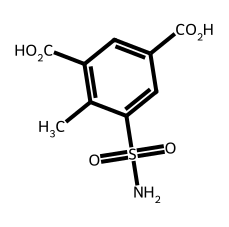 Cc1c(C(=O)O)cc(C(=O)O)cc1S(N)(=O)=O